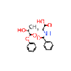 CC(O)C(=O)Oc1ccccc1.O=C(O)CNC(=O)c1ccccc1